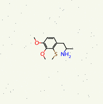 COc1ccc(CC(C)N)c(SC)c1OC